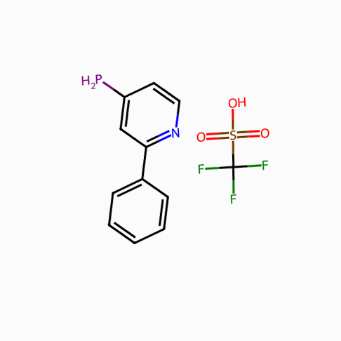 O=S(=O)(O)C(F)(F)F.Pc1ccnc(-c2ccccc2)c1